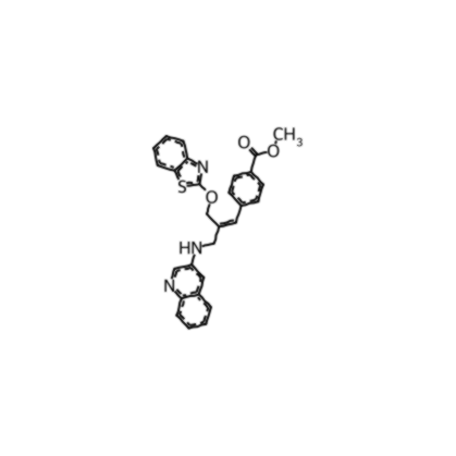 COC(=O)c1ccc(C=C(CNc2cnc3ccccc3c2)COc2nc3ccccc3s2)cc1